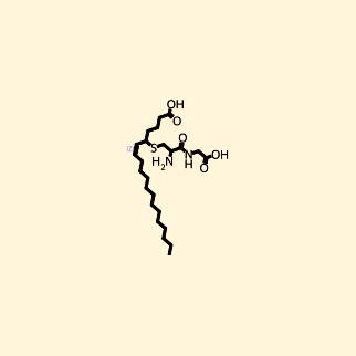 CCCCCCCCCCCC/C=C\C(CCCC(=O)O)SCC(N)C(=O)NCC(=O)O